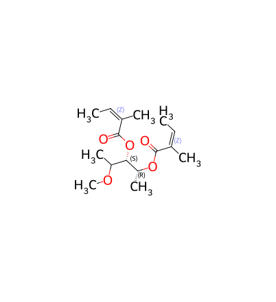 C/C=C(/C)C(=O)O[C@H](C)[C@@H](OC(=O)/C(C)=C\C)C(C)OC